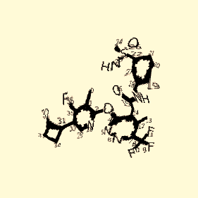 Cc1c(Oc2nnc(C(F)(F)F)c(C)c2C(=O)Nc2cccc(S(C)(=N)=O)c2)ncc(C2CCC2)c1F